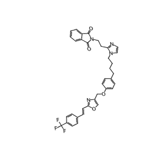 O=C1c2ccccc2C(=O)N1CCc1nccn1CCCCc1ccc(OCc2coc(/C=C/c3ccc(C(F)(F)F)cc3)n2)cc1